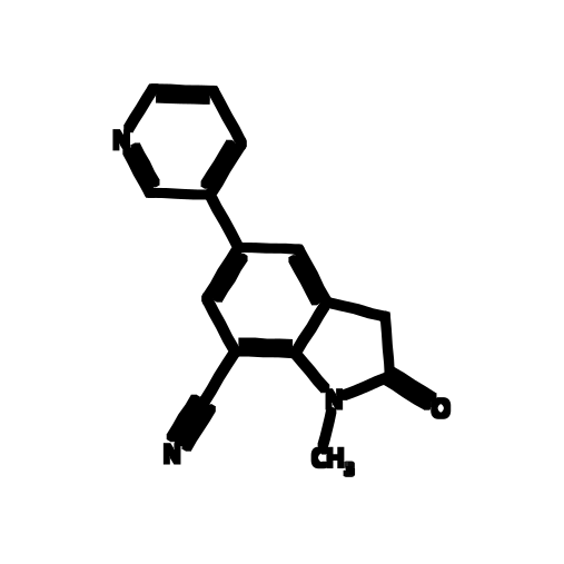 CN1C(=O)Cc2cc(-c3cccnc3)cc(C#N)c21